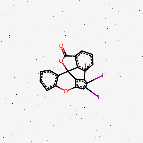 O=C1OC2(c3ccccc3Oc3cc(I)c(I)c(I)c32)c2ccccc21